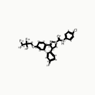 O=C(Nc1ccc(Cl)cc1)N1CC(c2ccc(F)cc2)C(c2ccc(OCC(F)(F)C(F)F)cc2)=N1